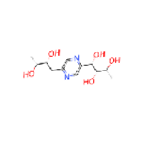 C[C@@H](O)[C@H](O)[C@@H](O)c1cnc(C[C@@H](O)[C@@H](C)O)cn1